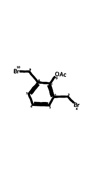 CC(=O)Oc1c(CBr)cccc1CBr